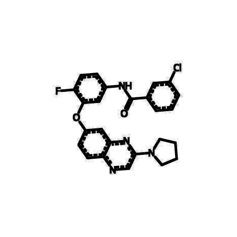 O=C(Nc1ccc(F)c(Oc2ccc3ncc(N4CCCC4)nc3c2)c1)c1cccc(Cl)c1